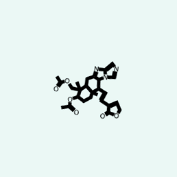 CC(=O)OCC1(C)C(OC(C)=O)CCC2(C)C(C=CC3=CCOC3=O)C3C(=Nc4cncn43)CC12